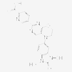 Cn1c(=O)n(C)c2cc(N3CCOc4nc(-c5ccc(C(=O)O)nc5)ncc43)ccc21